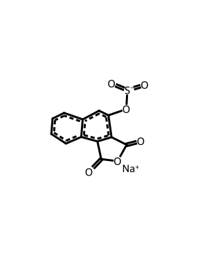 O=C1OC(=O)c2c1c(O[S-](=O)=O)cc1ccccc21.[Na+]